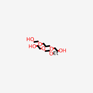 OCCOCCCOCCO.[CH2]COCCOCCO